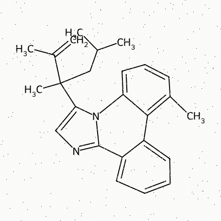 C=C(C)C(C)(CC(C)C)c1cnc2c3ccccc3c3c(C)cccc3n12